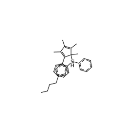 CCCCc1ccc(C2=C(C)C(C)=C(C)C2(C)[SiH](c2ccccc2)c2ccccc2)cc1